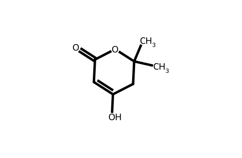 CC1(C)CC(O)=CC(=O)O1